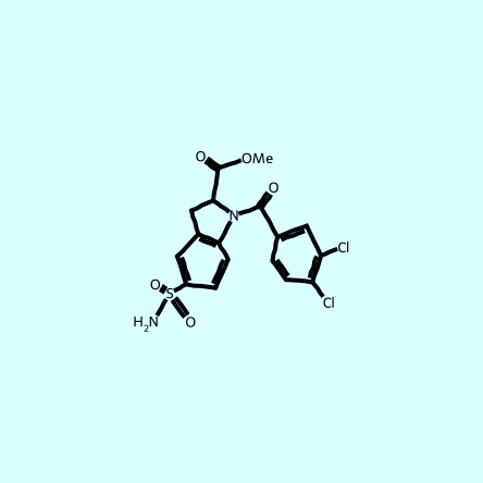 COC(=O)C1Cc2cc(S(N)(=O)=O)ccc2N1C(=O)c1ccc(Cl)c(Cl)c1